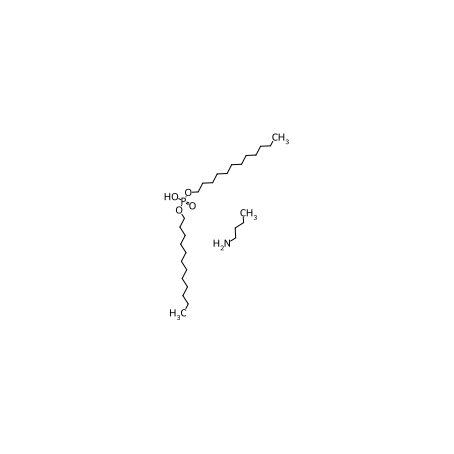 CCCCCCCCCCCCOP(=O)(O)OCCCCCCCCCCCC.CCCCN